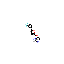 O=C(N[C@H]1CN2CCC1CC2)c1ccc(-c2cccc(C(F)(F)F)c2)o1